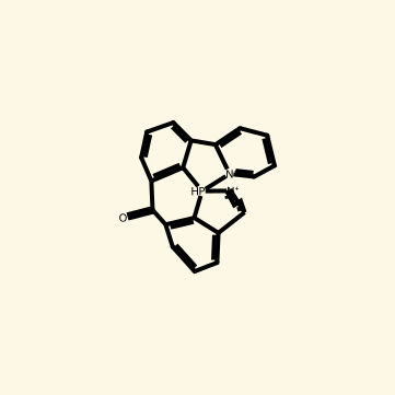 O=C1c2cccc3c2[PH]2(c4c1cccc4-c1cccc[n+]12)[n+]1ccccc1-3